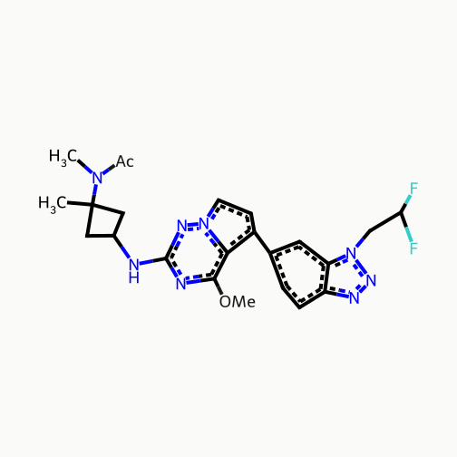 COc1nc(NC2CC(C)(N(C)C(C)=O)C2)nn2ccc(-c3ccc4nnn(CC(F)F)c4c3)c12